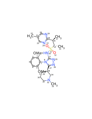 COc1cccc(OC)c1-n1c(NS(=O)(=O)[C@@H](C)[C@H](C)c2ncc(C)cn2)nnc1[C@@H]1CCCN(C)C1